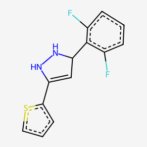 Fc1cccc(F)c1C1C=C(c2cccs2)NN1